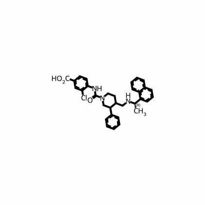 C[C@@H](NCC1CCN(C(=O)Nc2ccc(C(=O)O)cc2Cl)CC1c1ccccc1)c1cccc2ccccc12